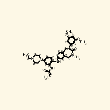 C=CC(=O)Nc1cc(N2CCN(CC)CC2)ccc1Nc1cc2c(cn1)CN(c1cc(OC)cc(OC)c1)C(=O)N(C)C2